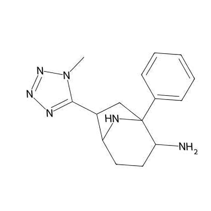 Cn1nnnc1C1CC2(c3ccccc3)NC1CCC2N